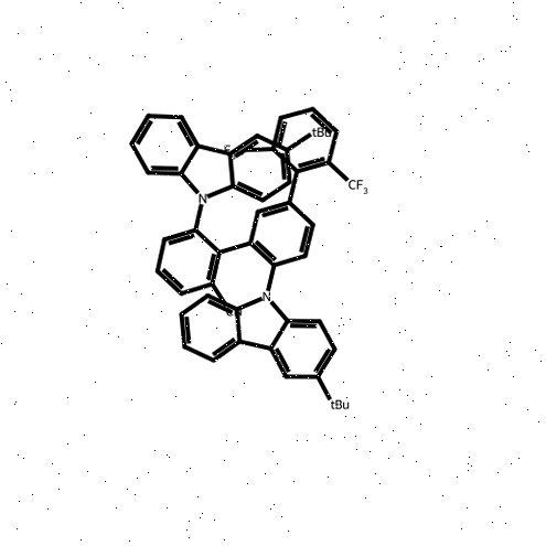 CC(C)(C)c1ccc2c(c1)c1ccccc1n2-c1ccc(-c2c(C(F)(F)F)cccc2C(F)(F)F)cc1-c1c(C#N)cccc1-n1c2ccccc2c2cc(C(C)(C)C)ccc21